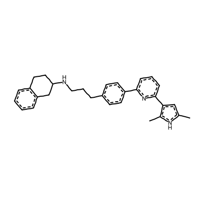 Cc1cc(-c2cccc(-c3ccc(CCCNC4CCc5ccccc5C4)cc3)n2)c(C)[nH]1